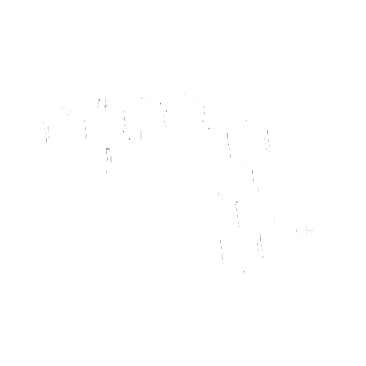 COc1ccccc1C(=O)Oc1cccc(N2CCN(Cc3nc4ccccc4c(=O)[nH]3)CC2)c1